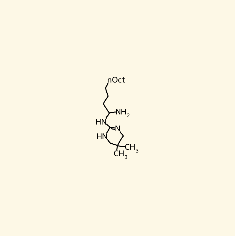 CCCCCCCCCCCC(N)NC1=NCC(C)(C)CN1